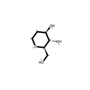 OC[C@H]1OC[C][C@@H](O)[C@@H]1O